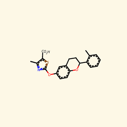 Cc1ccccc1C1CCc2cc(Oc3nc(C)c(C(=O)O)s3)ccc2O1